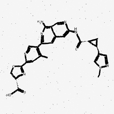 Cc1cc(C2=N[C@H](C(=O)O)CO2)ncc1-c1cc2cc(NC(=O)[C@@H]3C[C@H]3c3cnn(C)c3)ncc2c(N)n1